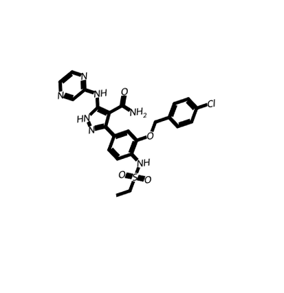 CCS(=O)(=O)Nc1ccc(-c2n[nH]c(Nc3cnccn3)c2C(N)=O)cc1OCc1ccc(Cl)cc1